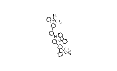 CC1(C)c2ccccc2-c2cc(-c3cccc(N(c4cccc(-c5ccc6c(c5)-c5ccccc5C6(C)C)c4)c4cccc5c4oc4ccccc45)c3)ccc21